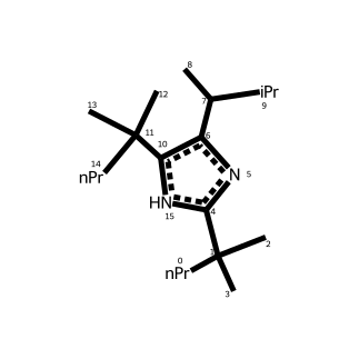 CCCC(C)(C)c1nc(C(C)C(C)C)c(C(C)(C)CCC)[nH]1